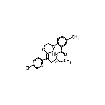 CC[C@@H](CNc1ccc(Cl)cn1)NC(=O)c1cc(C)ccc1N1CCOCC1